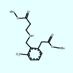 CC(C)(C)OC(=O)CCNCc1c(CC(=O)OC(C)(C)C)cccc1[N+](=O)[O-]